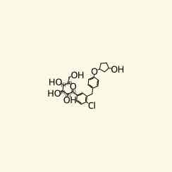 OC[C@H]1O[C@@H](c2ccc(Cl)c(Cc3ccc(OC4CCC(O)C4)cc3)c2)[C@H](O)[C@@H](O)[C@@H]1O